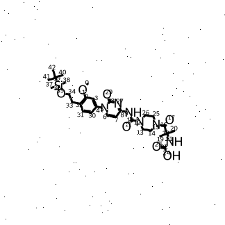 COc1cc(-n2ccc(NC(=O)N3CCN(C(=O)C(C)(C)NC(=O)O)CC3)nc2=O)ccc1CCO[Si](C)(C)C(C)(C)C